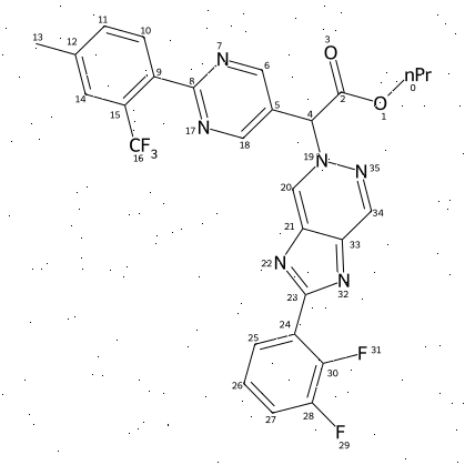 CCCOC(=O)C(c1cnc(-c2ccc(C)cc2C(F)(F)F)nc1)n1cc2nc(-c3cccc(F)c3F)nc-2cn1